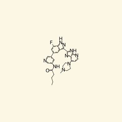 CCCCC(=O)Nc1cncc(-c2cc(F)c3[nH]nc(-c4nc5c(N6CCN(C)CC6)ccnc5[nH]4)c3c2)c1